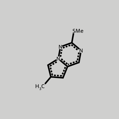 CSc1ncc2cc(C)cn2n1